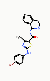 Cc1nc(Nc2ccc(Br)cc2)sc1C(=O)NC1NCCc2ccccc21